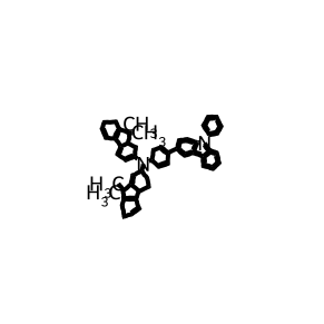 CC1(C)C2=CC(N(C3=CC=C4C5=C(CCC=C5)C(C)(C)C4C3)C3C=CC(c4ccc5c(c4)c4ccccc4n5-c4ccccc4)=CC3)CCC2C2=C1CCC=C2